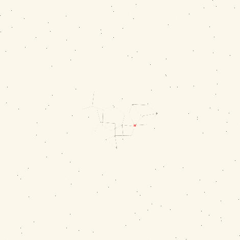 CC(N)CC1(CN2CC3CC(C2)N3CC2(F)CCN(C(C)C)CC2)CC1